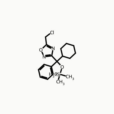 C[Si](C)(C)OC(c1ccccc1)(c1noc(CCl)n1)C1CCCCC1